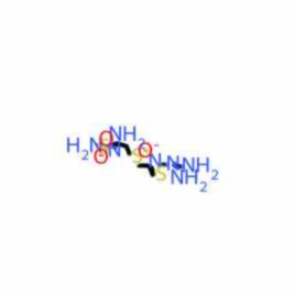 NC(N)=Nc1nc(C[S+]([O-])CCC(N)=NS(N)(=O)=O)cs1